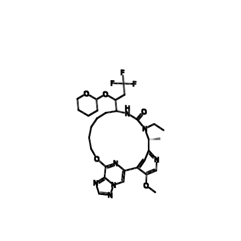 CCN1C(=O)NC(C(CC(F)(F)F)OC2CCCCO2)CCCCCOc2nc(cn3ncnc23)-c2cc(ncc2OC)[C@H]1C